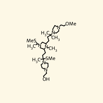 COCCN1CCN(C(C)(C)CCC2CN(C(C)SC)CC(CCC(C)(SC)N3CCN(CCO)CC3)N2C)CC1